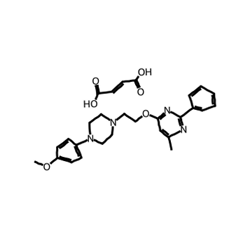 COc1ccc(N2CCN(CCOc3cc(C)nc(-c4ccccc4)n3)CC2)cc1.O=C(O)C=CC(=O)O